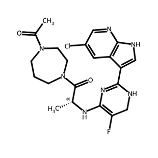 CC(=O)N1CCCN(C(=O)[C@@H](C)NC2=C(F)CNC(c3c[nH]c4ncc(Cl)cc34)=N2)CC1